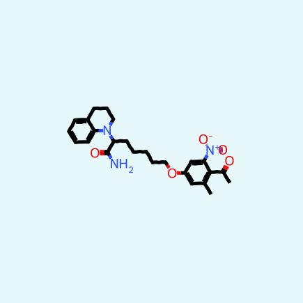 CC(=O)c1c(C)cc(OCCCCCC(C(N)=O)N2CCCc3ccccc32)cc1[N+](=O)[O-]